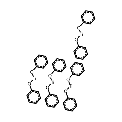 c1ccc([O][Ti][O]c2ccccc2)cc1.c1ccc([O][Ti][O]c2ccccc2)cc1.c1ccc([O][Ti][O]c2ccccc2)cc1.c1ccc([O][Ti][O]c2ccccc2)cc1